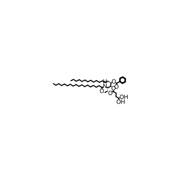 CCCCCCCCCCCCCCCCCC(=O)N[C@@H](CC)[C@H](OC(=O)CCC(O)O)[C@@H](CCCCCCCCCCCCCC)OC(=O)c1ccccc1